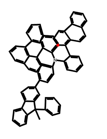 CC1(c2ccccc2)c2ccccc2-c2ccc(-c3ccc(N(c4ccccc4-c4cccc5c4ccc4ccccc45)c4ccccc4-c4cccc5cccc(-c6ccccc6)c45)cc3)cc21